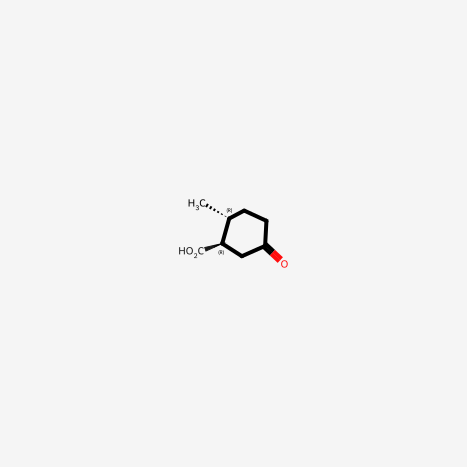 C[C@@H]1CCC(=O)C[C@H]1C(=O)O